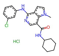 Cl.Cn1ccc2c(Nc3cccc(Cl)c3)ncc(C(=O)NC3CCCCC3)c21